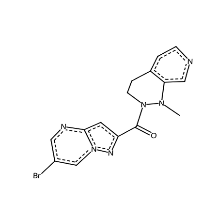 CN1c2cnccc2CCN1C(=O)c1cc2ncc(Br)cn2n1